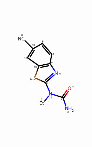 CCN(C(N)=O)c1nc2ccc(C#N)cc2s1